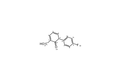 O=C(O)C1=CC=CC(c2ccc(F)cc2)C1=O